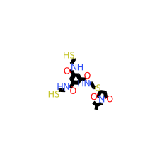 CC(C)CN1C(=O)CC(SCCNC(=O)c2cc(C(=O)NCCS)cc(C(=O)NCCS)c2)C1=O